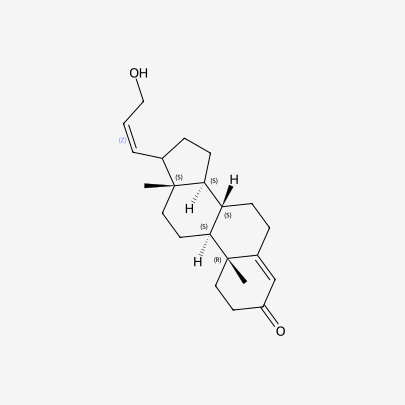 C[C@]12CCC(=O)C=C1CC[C@@H]1[C@@H]2CC[C@]2(C)C(/C=C\CO)CC[C@@H]12